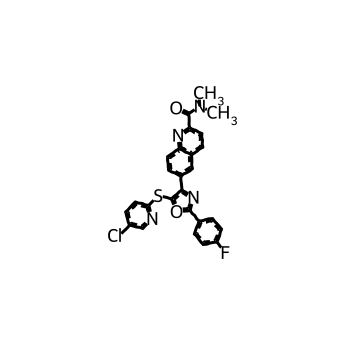 CN(C)C(=O)c1ccc2cc(-c3nc(-c4ccc(F)cc4)oc3Sc3ccc(Cl)cn3)ccc2n1